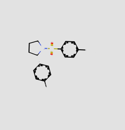 CCc1ccc([C@@H]2CCCN2S(=O)(=O)c2ccc(C)cc2)cc1